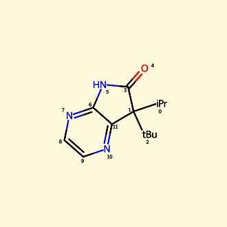 CC(C)C1(C(C)(C)C)C(=O)Nc2nccnc21